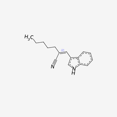 CCCCC/C(C#N)=C/c1c[nH]c2ccccc12